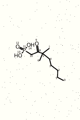 CCCCCC(C)(C)C(=O)CP(=O)(O)O